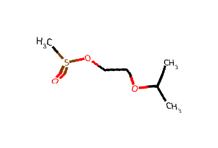 CC(C)OCCOS(C)=O